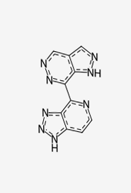 c1cc2[nH]nnc2c(-c2nncc3cn[nH]c23)n1